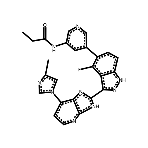 CCC(=O)Nc1cncc(-c2ccc3[nH]nc(-c4nc5c(-n6cnc(C)c6)ccnc5[nH]4)c3c2F)c1